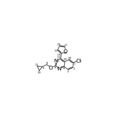 Clc1ccc2nc(OCC3CC3)nc(-c3ccco3)c2c1